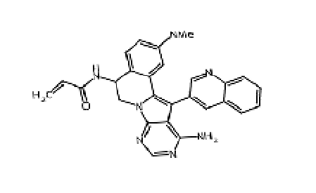 C=CC(=O)NC1Cn2c(c(-c3cnc4ccccc4c3)c3c(N)ncnc32)-c2cc(NC)ccc21